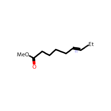 CC/C=C/CCCCC(=O)OC